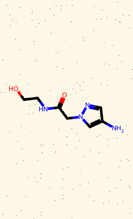 Nc1cnn(CC(=O)NCCO)c1